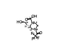 O=C(O)N1CCN(C(=O)C(F)(F)F)C[C@@H]1CCO